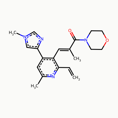 C=Cc1nc(C)cc(-c2cn(C)cn2)c1/C=C(\C)C(=O)N1CCOCC1